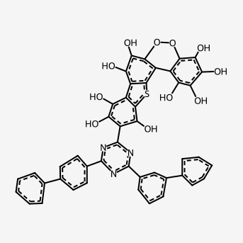 Oc1c(O)c(O)c2c(c1O)OOc1c(O)c(O)c3c(sc4c(O)c(-c5nc(-c6ccc(-c7ccccc7)cc6)nc(-c6cccc(-c7ccccc7)c6)n5)c(O)c(O)c43)c1-2